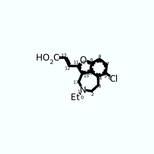 CCN1CCc2c(Cl)ccc3oc(C=CC(=O)O)c(c23)C1